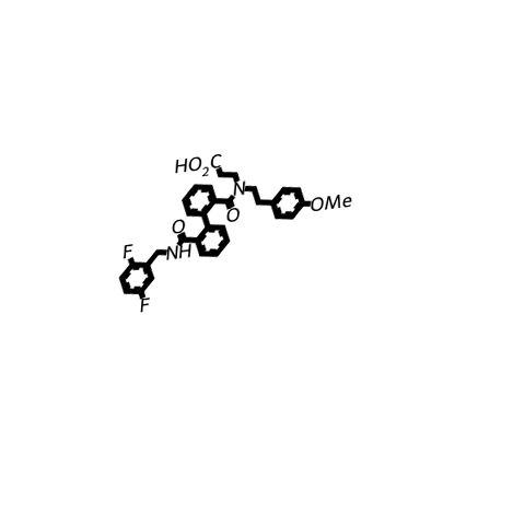 COc1ccc(CCN(CCC(=O)O)C(=O)c2ccccc2-c2ccccc2C(=O)NCc2cc(F)ccc2F)cc1